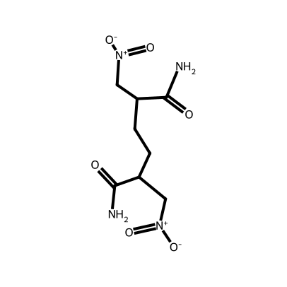 NC(=O)C(CCC(C[N+](=O)[O-])C(N)=O)C[N+](=O)[O-]